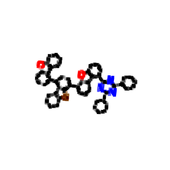 c1ccc(-c2nc(-c3ccccc3)nc(-c3cccc4oc5c(-c6ccc(-c7cccc8oc9ccccc9c78)c7c6sc6ccccc67)cccc5c34)n2)cc1